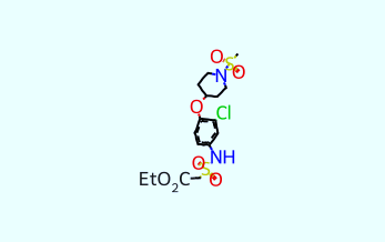 CCOC(=O)CS(=O)(=O)Nc1ccc(OC2CCN(S(C)(=O)=O)CC2)c(Cl)c1